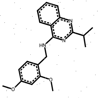 COc1ccc(CNc2nc(C(C)C)nc3ccccc23)c(OC)c1